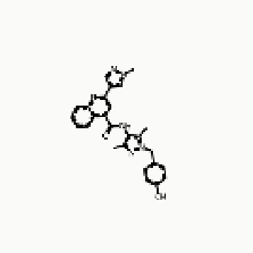 Cc1nn(Cc2ccc(C#N)cc2)c(C)c1NC(=O)c1cc(-c2cnn(C)c2)nc2ccccc12